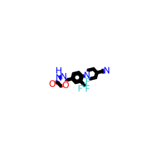 N#CC1CCN(c2ccc(C3=NNC(=O)CO3)cc2C(F)(F)F)CC1